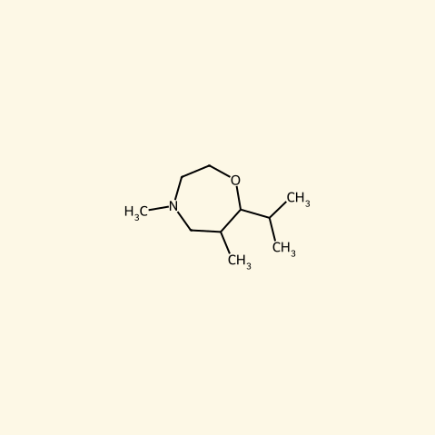 CC(C)C1OCCN(C)CC1C